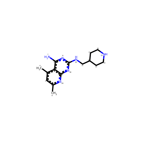 Cc1cc(C)c2c(N)nc(NCC3CCNCC3)nc2n1